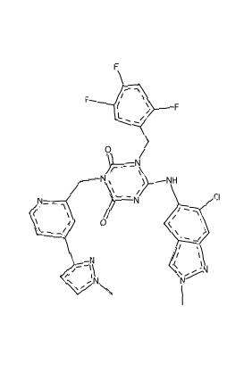 Cn1ccc(-c2ccnc(Cn3c(=O)nc(Nc4cc5cn(C)nc5cc4Cl)n(Cc4cc(F)c(F)cc4F)c3=O)c2)n1